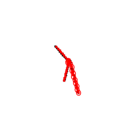 C/C=C(/COCCOCCOCCOCCOCCOCCOCCOCCOCCOC)P(=O)(OCCCCCCCCCCCCCCCCCC)OCCCCCCCCCCCCCCCCCC